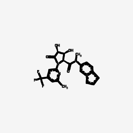 Cc1cc(C(F)(F)F)cc(N2C(=O)[C@@H](O)[C@@H](O)[C@H]2C(=O)N(C)c2ccc3cccn3c2)n1